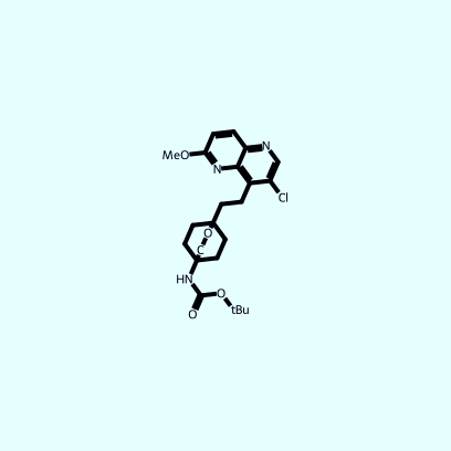 COc1ccc2ncc(Cl)c(CCC34CCC(NC(=O)OC(C)(C)C)(CC3)CO4)c2n1